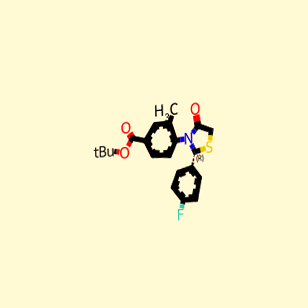 Cc1cc(C(=O)OC(C)(C)C)ccc1N1C(=O)CS[C@@H]1c1ccc(F)cc1